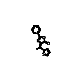 CC(=C1N=C(c2ccccc2)OC1=O)c1cccs1